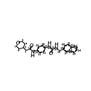 O=C(CC1CCOCC1)Nc1ccc(NC(=O)NCc2ccc3nccn3c2)cc1